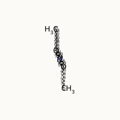 CCCCCCCCCCCCOc1ccc(/N=N/c2ccc(OCCCCCCCCCCCC)cc2)cc1